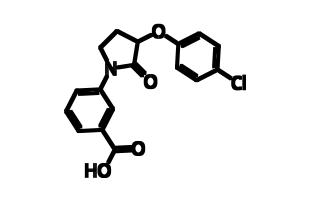 O=C(O)c1cccc(N2CCC(Oc3ccc(Cl)cc3)C2=O)c1